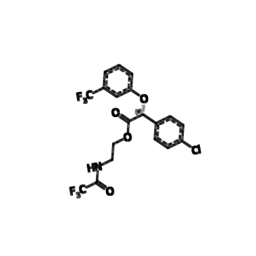 O=C(OCCNC(=O)C(F)(F)F)[C@H](Oc1cccc(C(F)(F)F)c1)c1ccc(Cl)cc1